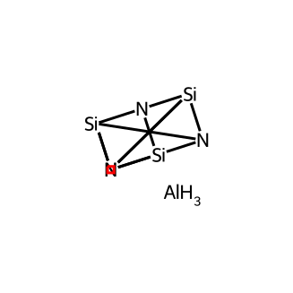 N12[Si]34N5[Si]16N3[Si]25N46.[AlH3]